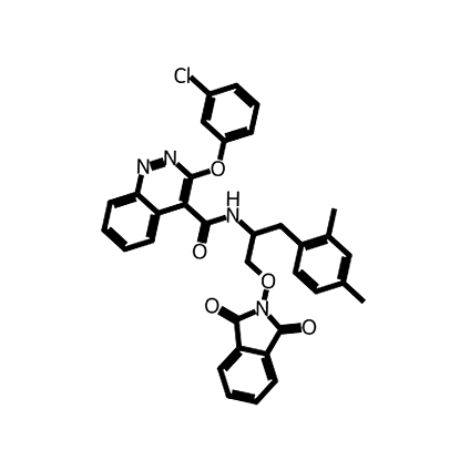 Cc1ccc(CC(CON2C(=O)c3ccccc3C2=O)NC(=O)c2c(Oc3cccc(Cl)c3)nnc3ccccc23)c(C)c1